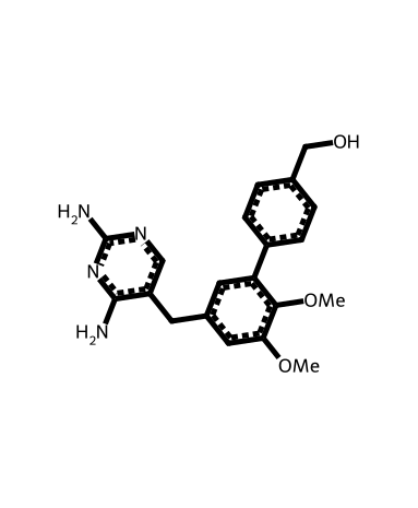 COc1cc(Cc2cnc(N)nc2N)cc(-c2ccc(CO)cc2)c1OC